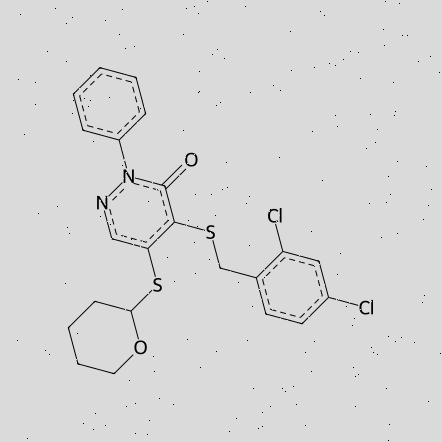 O=c1c(SCc2ccc(Cl)cc2Cl)c(SC2CCCCO2)cnn1-c1ccccc1